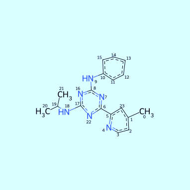 Cc1ccnc(-c2nc(Nc3ccccc3)nc(NC(C)C)n2)c1